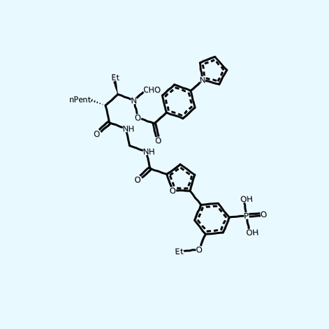 CCCCC[C@@H](C(=O)NCNC(=O)c1ccc(-c2cc(OCC)cc(P(=O)(O)O)c2)o1)[C@@H](CC)N(C=O)OC(=O)c1ccc(-n2cccc2)cc1